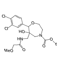 COCC(=O)NCC1(O)CN(C(=O)OC(C)(C)C)CCOC1c1ccc(Cl)c(Cl)c1